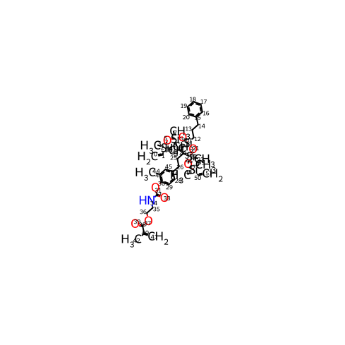 C=C[Si](C)(C)O[Si](C)(C)O[Si](C)(CCCc1ccccc1)O[Si](C)(CCCc1ccc(OC(=O)NCCOC(=O)C(=C)C)c(C)c1)O[Si](C)(C)C=C